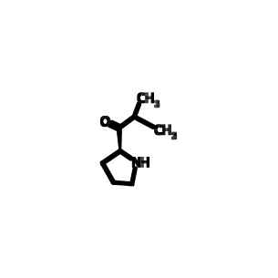 CC(C)C(=O)[C@@H]1CCCN1